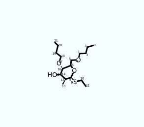 CCCCOCC1O[C@@H](SCC)[C@@H](C)C(O)[C@@H]1OCCCC